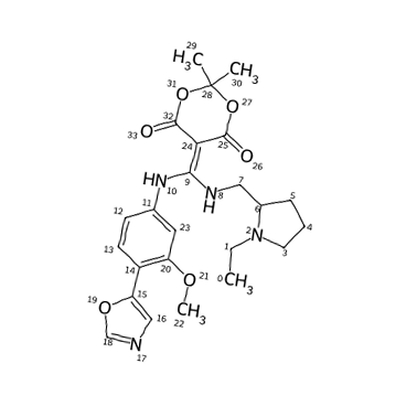 CCN1CCCC1CNC(Nc1ccc(-c2cnco2)c(OC)c1)=C1C(=O)OC(C)(C)OC1=O